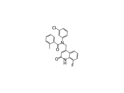 Cc1ccccc1C(=O)N(Cc1cc(=O)[nH]c2c(F)cccc12)c1cccc(Cl)c1